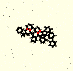 CC1(C)c2ccccc2-c2ccc(C(c3ccccc3-c3ccccc3)c3ccccc3-c3ccc4c(c3)C3(c5ccccc5-4)c4ccccc4-n4c5ccccc5c5cccc3c54)cc21